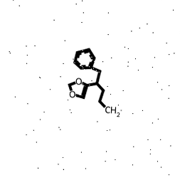 [CH2]CCC(Cc1ccccc1)C1=COCO1